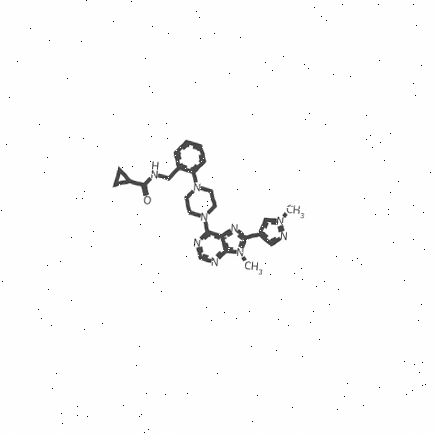 Cn1cc(-c2nc3c(N4CCN(c5ccccc5CNC(=O)C5CC5)CC4)ncnc3n2C)cn1